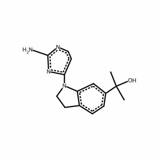 CC(C)(O)c1ccc2c(c1)N(c1ccnc(N)n1)CC2